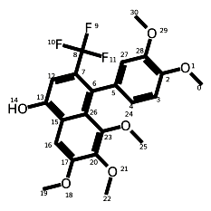 COc1ccc(-c2c(C(F)(F)F)cc(O)c3cc(OC)c(OC)c(OC)c23)cc1OC